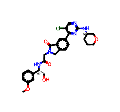 COc1cccc([C@@H](CO)NC(=O)CN2Cc3ccc(-c4nc(N[C@H]5CCCOC5)ncc4Cl)cc3C2=O)c1